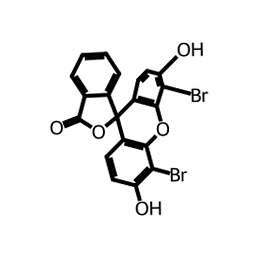 O=C1OC2(c3ccccc31)c1ccc(O)c(Br)c1Oc1c2ccc(O)c1Br